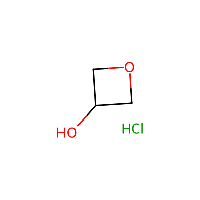 Cl.OC1COC1